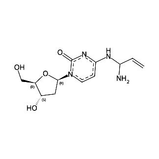 C=CC(N)Nc1ccn([C@H]2C[C@H](O)[C@@H](CO)O2)c(=O)n1